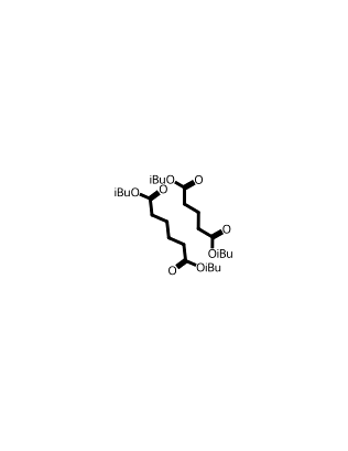 CC(C)COC(=O)CCCC(=O)OCC(C)C.CC(C)COC(=O)CCCCC(=O)OCC(C)C